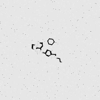 N[C@H]1CC[C@H](Nc2cc(Nc3ccc(C(=O)NCCO)cc3)c3nccn3n2)CC1